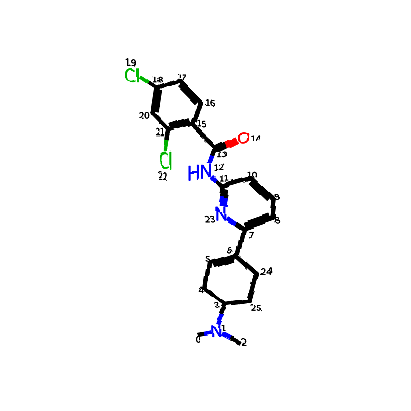 CN(C)C1CC=C(c2cccc(NC(=O)c3ccc(Cl)cc3Cl)n2)CC1